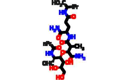 CCCC(=O)N[C@@H](C=O)[C@@H](OC(C(N)=O)C(C)C(=O)NC(CCC(=O)NC(C(=O)O)C(C)C)C(N)=O)[C@H](O)[C@H](O)CO